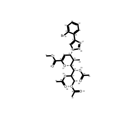 COC(=O)C1=C[C@H](n2cc(-c3ccccc3Br)nn2)[C@@H](C)[C@H]([C@H](OC(C)=O)C(COC(C)=O)OC(C)=O)O1